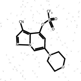 N#Cc1cnn2cc(N3CCOCC3)cc(OS(=O)(=O)C(F)(F)F)c12